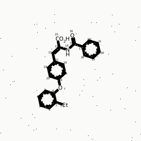 CCc1ccccc1Oc1ccc(C=C(NC(=O)c2ccccc2)C(=O)O)cc1